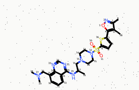 Cc1noc(-c2ccc(S(=O)(=O)N3CCN(CC(C)Nc4ncnc5c(CN(C)C)cccc45)CC3)s2)c1C